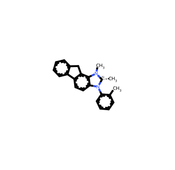 Cc1ccccc1N1c2ccc3c(c2N(C)[C@@H]1C)Cc1ccccc1-3